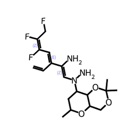 C=CC(=C\C(F)=C(\F)CF)/C(N)=C/N(N)C1CC(C)OC2COC(C)(C)OC21